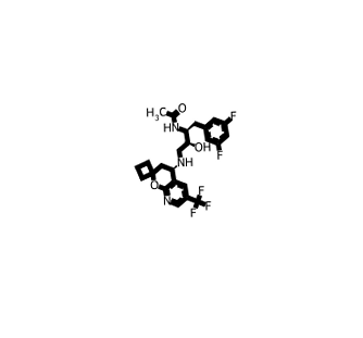 CC(=O)N[C@@H](Cc1cc(F)cc(F)c1)[C@@H](O)CN[C@H]1CC2(CCC2)Oc2ncc(C(F)(F)F)cc21